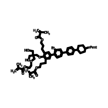 C=C(C)C(=O)OCCCc1cc(-c2ccc(-c3ccc(C4CCC(CCCCC)CC4)cc3)cc2CC)cc(CCCOC(=O)C(=C)C)c1OCC(CO)(CO)COCCOC(=O)C(=C)C